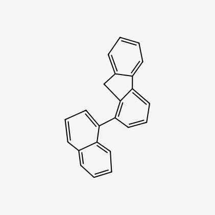 c1ccc2c(c1)Cc1c-2cccc1-c1cccc2ccccc12